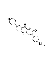 N[C@H]1CC[C@H](n2cc3c(nc2=O)Nc2cc(C4CCNCC4)ccc2O3)CC1